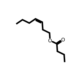 CCC/C=C\CCOC(=O)CCC